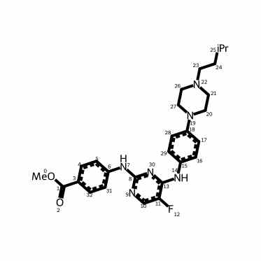 COC(=O)c1ccc(Nc2ncc(F)c(Nc3ccc(N4CCN(CCC(C)C)CC4)cc3)n2)cc1